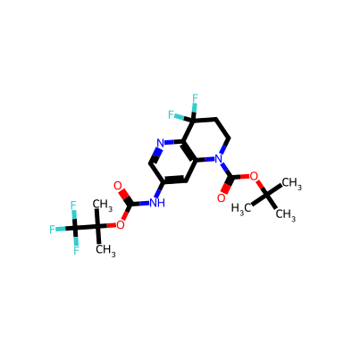 CC(C)(C)OC(=O)N1CCC(F)(F)c2ncc(NC(=O)OC(C)(C)C(F)(F)F)cc21